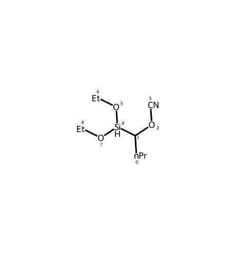 CCCC(OC#N)[SiH](OCC)OCC